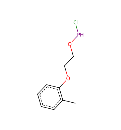 Cc1ccccc1OCCOPCl